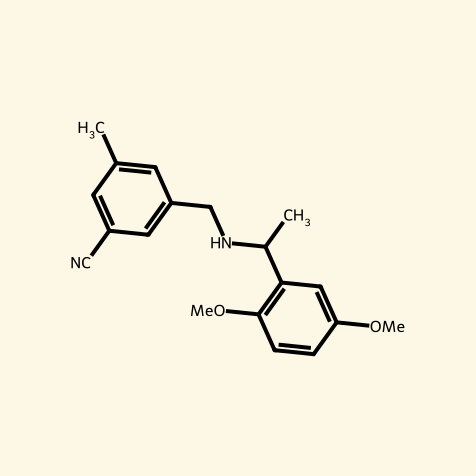 COc1ccc(OC)c(C(C)NCc2cc(C)cc(C#N)c2)c1